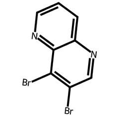 Brc1cnc2cccnc2c1Br